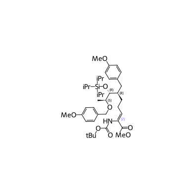 COC(=O)/C(=C/CC[C@H](Cc1ccc(OC)cc1)[C@@H](O[Si](C(C)C)(C(C)C)C(C)C)[C@H](C)OCc1ccc(OC)cc1)NC(=O)OC(C)(C)C